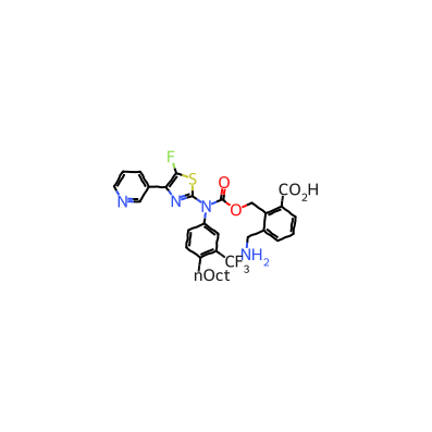 CCCCCCCCc1ccc(N(C(=O)OCc2c(CN)cccc2C(=O)O)c2nc(-c3cccnc3)c(F)s2)cc1C(F)(F)F